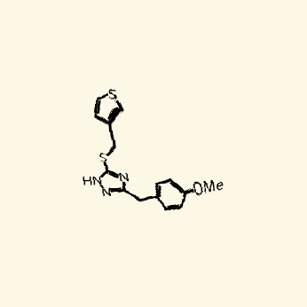 COc1ccc(Cc2n[nH]c(SCc3ccsc3)n2)cc1